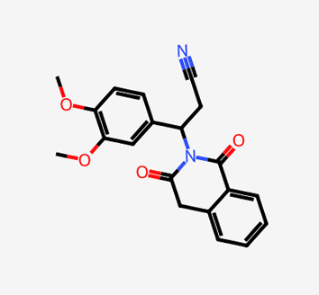 COc1ccc(C(CC#N)N2C(=O)Cc3ccccc3C2=O)cc1OC